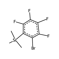 C[Si](C)(C)c1c(F)c(F)c(F)c(F)c1Br